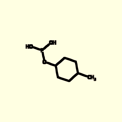 CC1CCC(OP(O)O)CC1